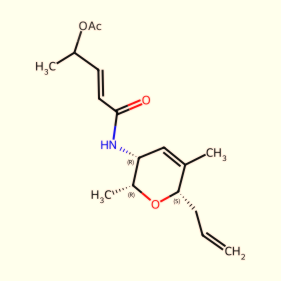 C=CC[C@@H]1O[C@H](C)[C@H](NC(=O)C=CC(C)OC(C)=O)C=C1C